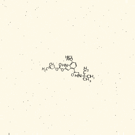 CN(C)CCOC(=O)Oc1cc2c(C(=O)CNC(C)(C)C)ccc(O)c2[nH]1.Cl